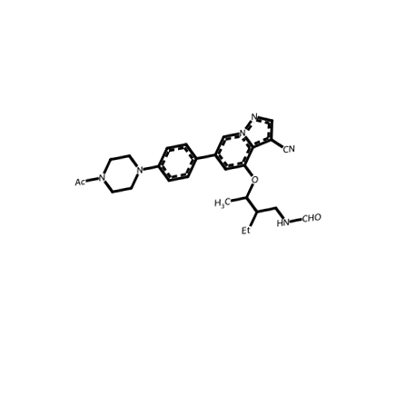 CCC(CNC=O)C(C)Oc1cc(-c2ccc(N3CCN(C(C)=O)CC3)cc2)cn2ncc(C#N)c12